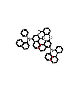 c1ccc(-c2ccccc2N(c2ccccc2)c2cc3c(c4ccccc24)B2c4c(cccc4Oc4cc(N(c5ccccc5)c5cccc6ccccc56)c5ccccc5c42)O3)cc1